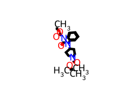 CCOC(=O)n1c(=O)n(C2CCN(C(=O)OC(C)(C)C)CC2)c2ccccc21